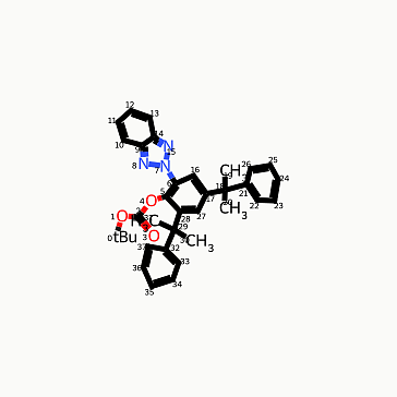 CC(C)(C)OC(=O)Oc1c(-n2nc3ccccc3n2)cc(C(C)(C)c2ccccc2)cc1C(C)(C)c1ccccc1